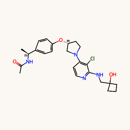 CC(=O)N[C@@H](C)c1ccc(O[C@@H]2CCN(c3ccnc(NCC4(O)CCC4)c3Cl)C2)cc1